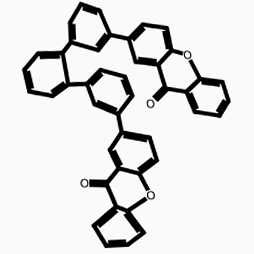 O=c1c2ccccc2oc2ccc(-c3cccc(-c4ccccc4-c4cccc(-c5ccc6oc7ccccc7c(=O)c6c5)c4)c3)cc12